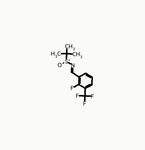 CC(C)(C)[S@@+]([O-])/N=C/c1cccc(C(F)(F)F)c1F